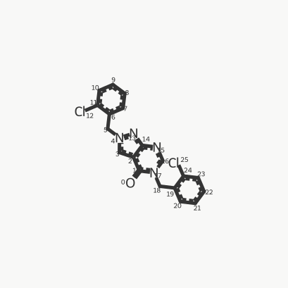 O=c1c2cn(Cc3ccccc3Cl)nc2ncn1Cc1ccccc1Cl